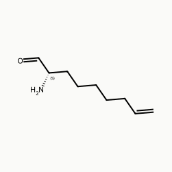 C=CCCCCC[C@H](N)C=O